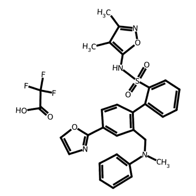 Cc1noc(NS(=O)(=O)c2ccccc2-c2ccc(-c3ncco3)cc2CN(C)c2ccccc2)c1C.O=C(O)C(F)(F)F